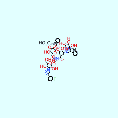 CCC[C@H](OC1C(OC(=O)c2ccccc2)[C@H](O[C@H]2CC(C(=O)NCCO[C@H]3OC(CO)[C@@H](O)C(n4cc(-c5cccc(F)c5)nn4)C3O)CC(n3cc(-c4ccccc4)nn3)C2O[C@@H]2OC(C)[C@@H](O)C(O)C2O)OC(CO)[C@@H]1O)C(=O)O